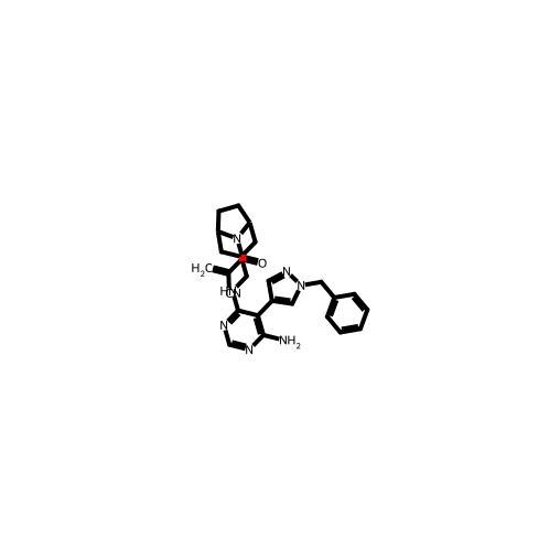 C=C(C#N)C(=O)N1C2CCC1CC(CNc1ncnc(N)c1-c1cnn(Cc3ccccc3)c1)C2